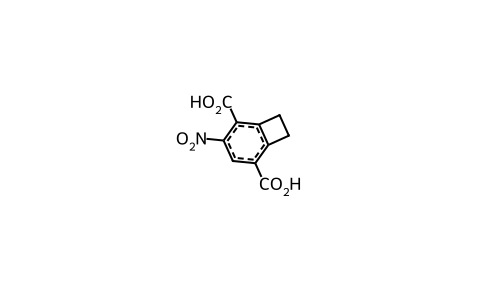 O=C(O)c1cc([N+](=O)[O-])c(C(=O)O)c2c1CC2